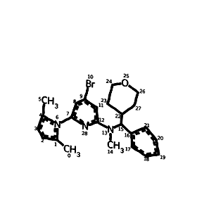 Cc1ccc(C)n1-c1cc(Br)cc(N(C)C(c2ccccc2)C2CCOCC2)n1